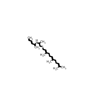 C=C/C=C/C(=C)NC(C)CSC/C=C(\C)CC/C=C(\C)CCC=C(C)C